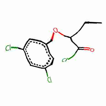 CCC(Oc1cc(Cl)cc(Cl)c1)C(=O)Cl